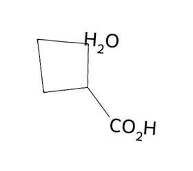 O.O=C(O)C1CCC1